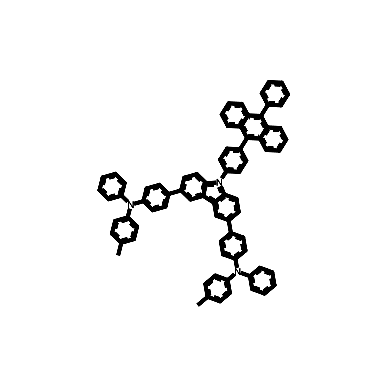 Cc1ccc(N(c2ccccc2)c2ccc(-c3ccc4c(c3)c3cc(-c5ccc(N(c6ccccc6)c6ccc(C)cc6)cc5)ccc3n4-c3ccc(-c4c5ccccc5c(-c5ccccc5)c5ccccc45)cc3)cc2)cc1